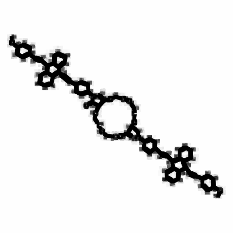 C=C1OCCOCCOC(C(=O)Nc2ccc(C#Cc3c4ccccc4c(C#Cc4ccc(OC)cc4)c4ccccc34)cc2)C(=C)OCCOCCOC1CNc1ccc(C#Cc2c3ccccc3c(C#Cc3ccc(OC)cc3)c3ccccc23)cc1